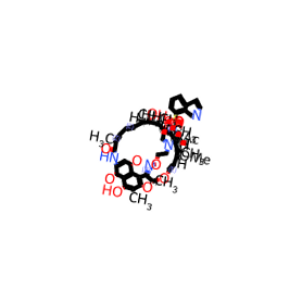 CO[C@H]1/C=C/O[C@@]2(C)Oc3c(C)c(O)c4c(c3/C2=N/OCCN2CCN(S(=O)(=O)c3cccc5ccncc35)CC2)C(=O)C=C(NC(=O)/C(C)=C\C=C\[C@H](C)[C@H](O)[C@@H](C)[C@@H](O)[C@@H](C)[C@H](OC(C)=O)[C@@H]1C)C4=O